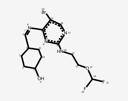 OC1CCC(/C=N\c2nc(NCCOC(F)F)ncc2Br)CC1